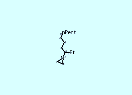 CCCCCCCCC(CC)N1CC1